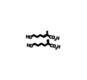 C=C(CCCCO)C(=O)O.CC(=CCCCO)C(=O)O